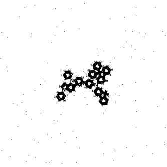 CC1(C)c2ccccc2-c2ccc(N(c3ccc(-c4ccc5c(c4)c4ccc6c(ccn6-c6ccccc6)c4n5-c4ccccc4)cc3)c3ccc4c(c3)C(c3ccccc3)(c3ccccc3)c3ccccc3-4)cc21